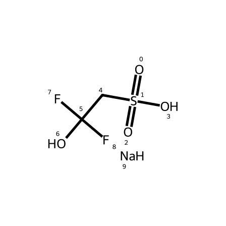 O=S(=O)(O)CC(O)(F)F.[NaH]